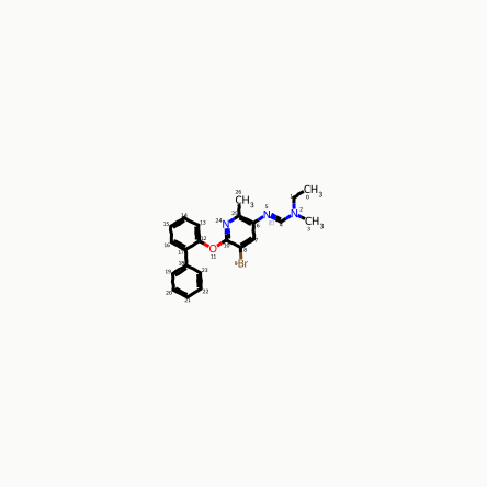 CCN(C)/C=N/c1cc(Br)c(Oc2ccccc2-c2ccccc2)nc1C